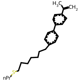 C=C(C)c1ccc(-c2ccc(CCCCCCCSCCC)cc2)cc1